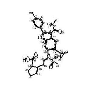 CNC(=O)c1c(-c2ccc(C)cc2)oc2nc(N(CCC3CCCC3C(=O)O)S(C)(=O)=O)c(C3CC3)cc12